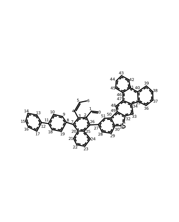 C=Cc1c(/C=C\C)c(-c2ccc(-c3ccccc3)cc2)c2ccccc2c1-c1ccc2sc3cc4c5ccccc5c5ccccc5c4cc3c2c1